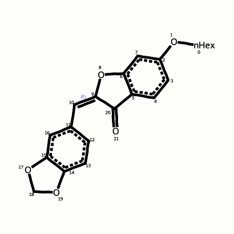 CCCCCCOc1ccc2c(c1)O/C(=C/c1ccc3c(c1)OCO3)C2=O